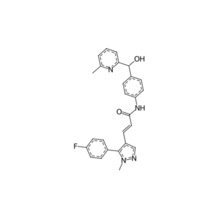 Cc1cccc(C(O)c2ccc(NC(=O)/C=C/c3cnn(C)c3-c3ccc(F)cc3)cc2)n1